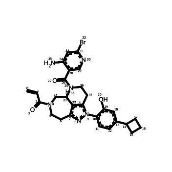 C=CC(=O)N1CCc2nn(-c3ccc(C4CCC4)cc3O)c3c2[C@H](C1)N(C(=O)c1cnc(Br)cc1N)CC3